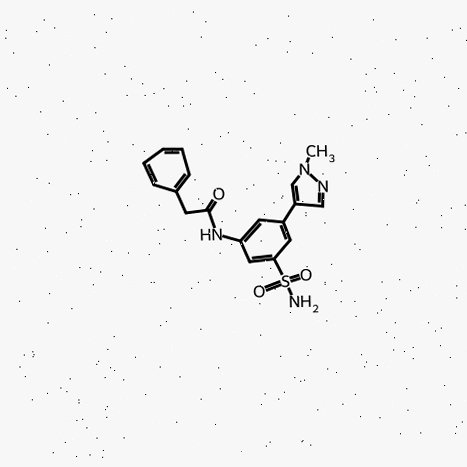 Cn1cc(-c2cc(NC(=O)Cc3ccccc3)cc(S(N)(=O)=O)c2)cn1